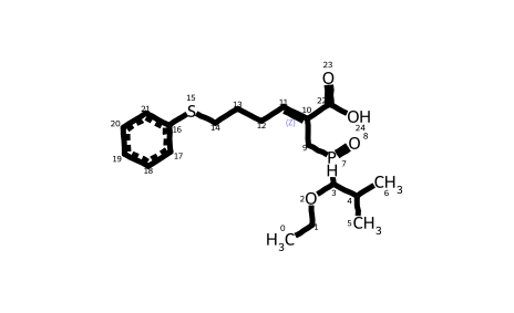 CCOC(C(C)C)[PH](=O)C/C(=C\CCCSc1ccccc1)C(=O)O